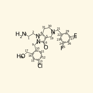 NCCn1c2c(c(=O)n1Cc1ccc(Cl)cc1CO)CN(Cc1cc(F)cc(F)c1)CC2